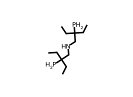 CCC(P)(CC)CNCC(P)(CC)CC